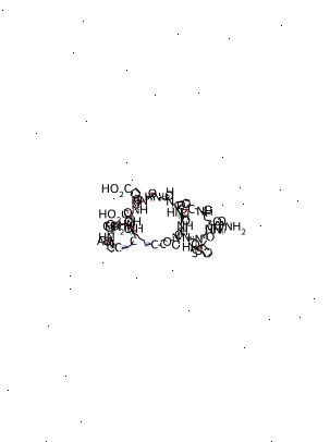 CC(=O)N1CCC[C@]12C/C=C\CCC[C@@]1(CCC/C=C/CCCOC(=O)N3CC4N[C@@H](Cc5ccsc5)C(=O)N[C@@H](Cc5csc6ccccc56)C(=O)N[C@H](C(=O)N[C@@H](C)C(N)=O)CCC(=O)NCCCC[C@H](NC(=O)[C@H](Cc5ccccc5)NC(=O)[C@H](C)NC(=O)C(C)(C)NC(=O)[C@H](Cc5cccc(C(=O)O)c5)NC(=O)[C@H](CC(=O)O)NC1=O)C(=O)N[C@@H]4C3)NC(O)CNC(=O)[C@H](CC(=O)O)NC2=O